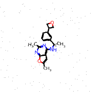 Cc1nc(N[C@@H](C)c2cccc(C3COC3)c2)c2cc(C)oc2n1